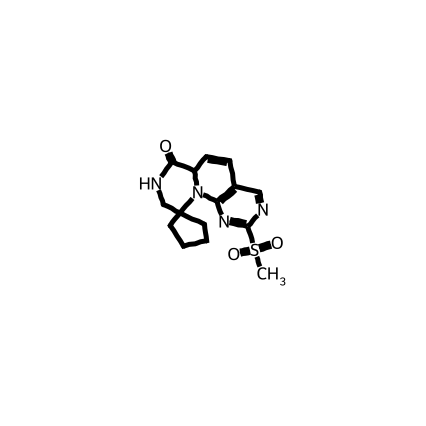 CS(=O)(=O)c1ncc2c(n1)N1C(C=C2)C(=O)NCC12CCCC2